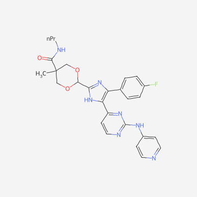 CCCNC(=O)C1(C)COC(c2nc(-c3ccc(F)cc3)c(-c3ccnc(Nc4ccncc4)n3)[nH]2)OC1